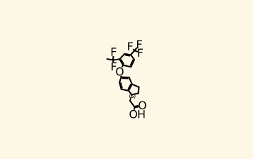 CC(F)(F)c1cc(C(F)(F)F)ccc1Oc1ccc2c(c1)CC[C@H]2CC(=O)O